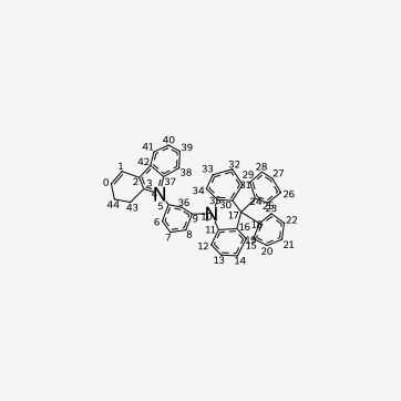 C1=Cc2c(n(-c3cccc(N4c5ccccc5C(c5ccccc5)(c5ccccc5)c5ccccc54)c3)c3ccccc23)CC1